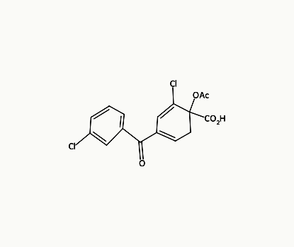 CC(=O)OC1(C(=O)O)CC=C(C(=O)c2cccc(Cl)c2)C=C1Cl